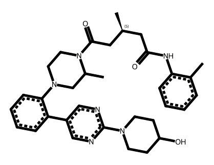 Cc1ccccc1NC(=O)C[C@H](C)CC(=O)N1CCN(c2ccccc2-c2cnc(N3CCC(O)CC3)nc2)CC1C